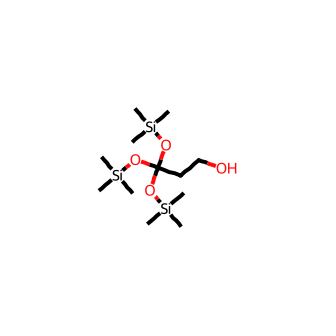 C[Si](C)(C)OC(CCO)(O[Si](C)(C)C)O[Si](C)(C)C